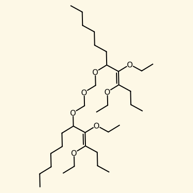 CCCCCCC(OCOCOC(CCCCCC)C(OCC)=C(CCC)OCC)C(OCC)=C(CCC)OCC